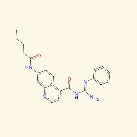 CCCCC(=O)Nc1ccc2c(C(=O)NC(N)=Nc3ccccc3)ccnc2c1